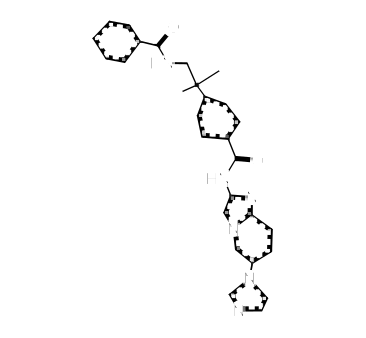 CC(C)(CNC(=O)c1ccccc1)c1ccc(C(=O)Nc2cn3cc(-n4ccnc4)ccc3n2)cc1